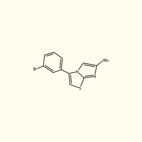 CC(C)(C)c1cn2c(-c3cccc(Br)c3)csc2n1